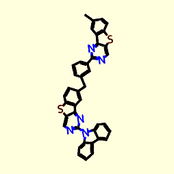 Cc1ccc2sc3cnc(-c4cccc(Cc5ccc6sc7cnc(-n8c9ccccc9c9ccccc98)nc7c6c5)c4)nc3c2c1